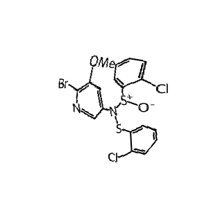 COc1cc(N(Sc2ccccc2Cl)[S+]([O-])c2ccccc2Cl)cnc1Br